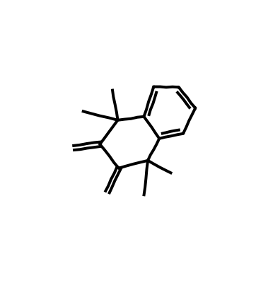 C=C1C(=C)C(C)(C)c2ccccc2C1(C)C